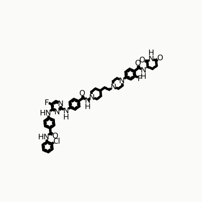 O=C1CC[C@H](NC(=O)c2ccc(N3CCN(CCC4CCN(NC(=O)c5ccc(Nc6ncc(F)c(Nc7ccc(C(=O)Nc8ccccc8Cl)cc7)n6)cc5)CC4)CC3)cc2F)C(=O)N1